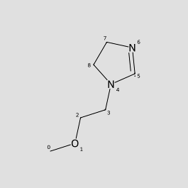 COCCN1[C]=NCC1